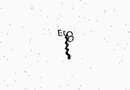 C=CCCCCCC(=O)CC(=O)CC